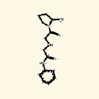 N#CC1CCCN1C(=O)CNCC(=O)Nc1ccccc1